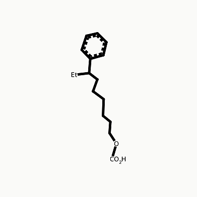 CCC(CCCCCCOC(=O)O)c1ccccc1